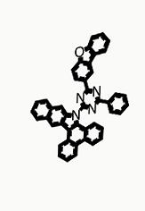 c1ccc(-c2nc(-c3ccc4oc5ccccc5c4c3)nc(-n3c4cc5ccccc5cc4c4c5ccccc5c5ccccc5c43)n2)cc1